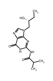 CC[C@@H](O)Cn1cnc2c(=O)[nH]c(NC(=O)C(C)C)nc21